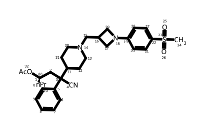 CCC[C@H](CC(C#N)(c1ccccc1)C1CCN(CC2CN(c3ccc(S(C)(=O)=O)cc3)C2)CC1)OC(C)=O